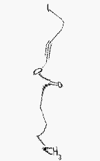 CCCCC(=O)OC#CCI